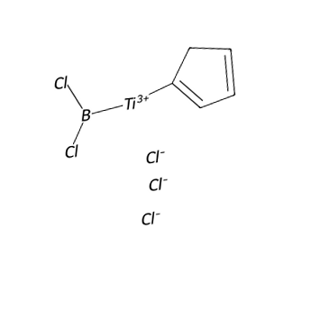 Cl[B](Cl)[Ti+3][C]1=CC=CC1.[Cl-].[Cl-].[Cl-]